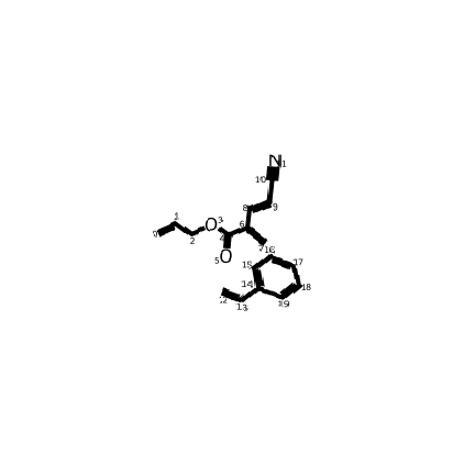 C=CCOC(=O)C(=C)C=CC#N.C=Cc1ccccc1